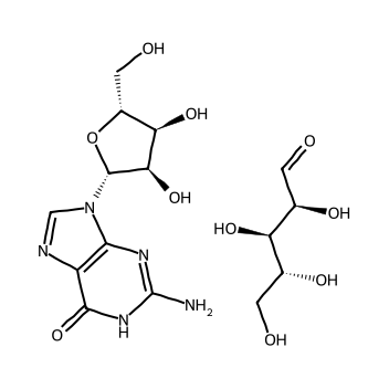 Nc1nc2c(ncn2[C@@H]2O[C@H](CO)[C@@H](O)[C@H]2O)c(=O)[nH]1.O=C[C@@H](O)[C@H](O)[C@H](O)CO